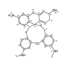 CNc1ccc2c(c1)Oc1cc(NC)ccc1CCC1(CC2)C2=CCC(N)C=C2Oc2cc(N)ccc21